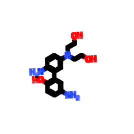 Nc1ccc(O)c(-c2cc(N(CCO)CCO)ccc2N)c1